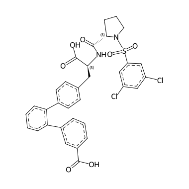 O=C(O)c1cccc(-c2ccccc2-c2ccc(C[C@H](NC(=O)[C@@H]3CCCN3S(=O)(=O)c3cc(Cl)cc(Cl)c3)C(=O)O)cc2)c1